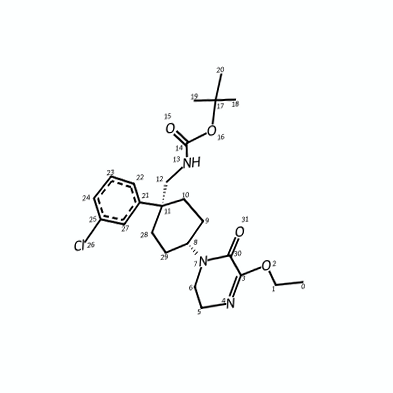 CCOC1=NCCN([C@H]2CC[C@](CNC(=O)OC(C)(C)C)(c3cccc(Cl)c3)CC2)C1=O